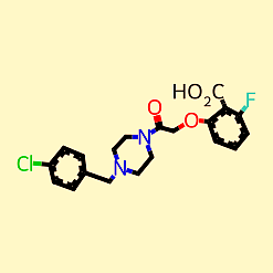 O=C(O)c1c(F)cccc1OCC(=O)N1CCN(Cc2ccc(Cl)cc2)CC1